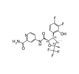 C[C@H]1[C@H](c2ccc(F)c(F)c2O)[C@H](C(=O)Nc2ccnc(C(N)=O)c2)O[C@@]1(C)C(F)(F)F